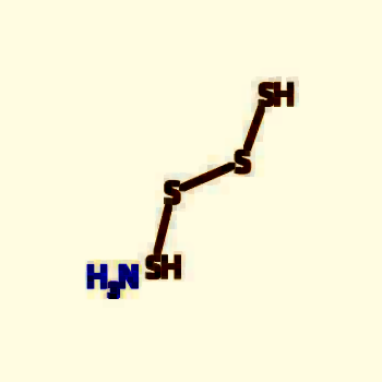 N.SSSS